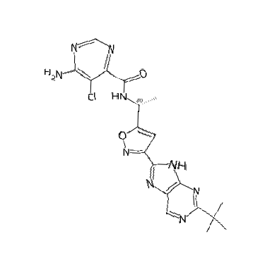 C[C@@H](NC(=O)c1ncnc(N)c1Cl)c1cc(-c2nc3cnc(C(C)(C)C)nc3[nH]2)no1